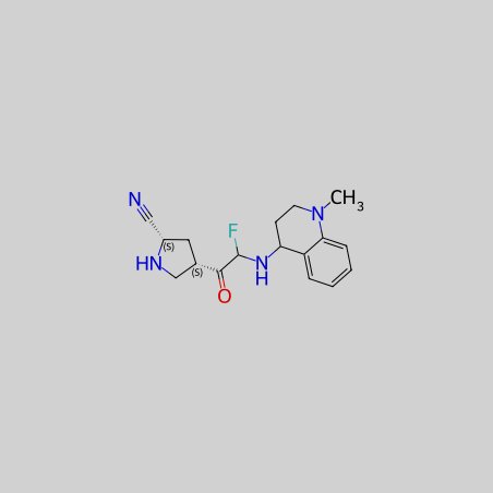 CN1CCC(NC(F)C(=O)[C@@H]2CN[C@H](C#N)C2)c2ccccc21